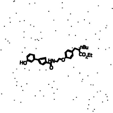 CCCCC(Cc1ccc(OCCNC(=O)c2ccc(-c3cccc(O)c3)cc2)cc1)C(=O)OCC